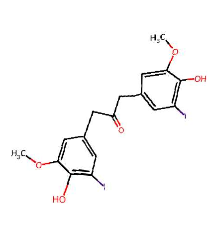 COc1cc(CC(=O)Cc2cc(I)c(O)c(OC)c2)cc(I)c1O